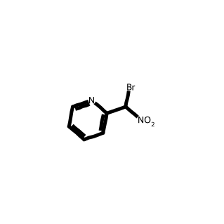 O=[N+]([O-])C(Br)c1ccccn1